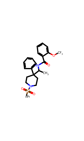 CCCS(=O)(=O)N1CCC(c2ccccc2)(C(C)NC(=O)c2ccccc2OC(F)(F)F)CC1